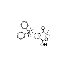 CC(C)(C)C(=O)N1C[C@@H](O[Si](c2ccccc2)(c2ccccc2)C(C)(C)C)C[C@@H]1C(=O)O